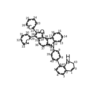 C1=Cc2cccc(-c3ccc(-n4c5ccccc5c5c6oc(-c7ccccc7)c(-c7ccccc7)c6ccc54)cc3)c2NC1